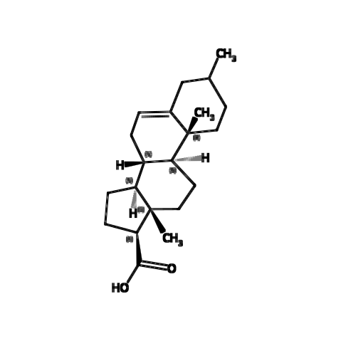 CC1CC[C@@]2(C)C(=CC[C@H]3[C@@H]4CC[C@H](C(=O)O)[C@@]4(C)CC[C@@H]32)C1